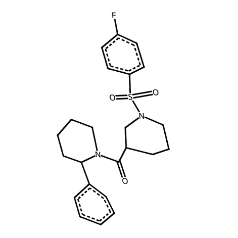 O=C(C1CCCN(S(=O)(=O)c2ccc(F)cc2)C1)N1CCCCC1c1ccccc1